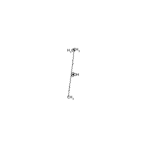 CCCCCC=CCC=CCCCCCCCCC(CCCCCCCCC=CCC=CCCCCCCCN(C)C)OC(=O)O